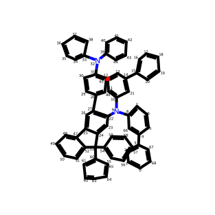 c1ccc(-c2cccc(N(c3cccc(-c4ccccc4)c3)c3cc4c(cc3-c3ccc(N(c5ccccc5)c5ccccc5)cc3)-c3ccccc3C4(c3ccccc3)c3ccccc3)c2)cc1